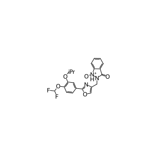 CC(C)Oc1cc(-c2nc(CN3C(=O)c4ccccc4[NH+]3[O-])co2)ccc1OC(F)F